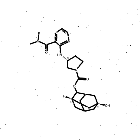 CN(C)C(=O)c1cccnc1N[C@@H]1CCN(C(=O)OC2C3CC4C[C@H]2C[C@@](O)(C4)C3)C1